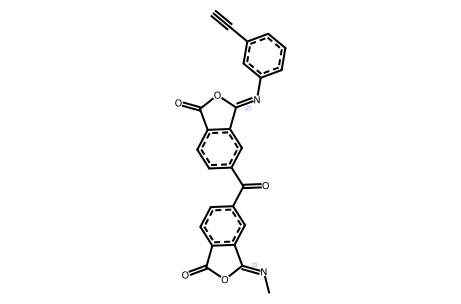 C#Cc1cccc(/N=C2\OC(=O)c3ccc(C(=O)c4ccc5c(c4)/C(=N/C)OC5=O)cc32)c1